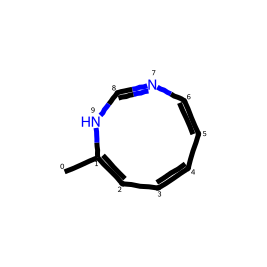 Cc1cccccnc[nH]1